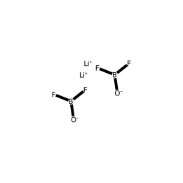 [Li+].[Li+].[O-]B(F)F.[O-]B(F)F